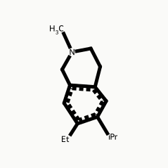 CCc1cc2c(cc1C(C)C)CCN(C)C2